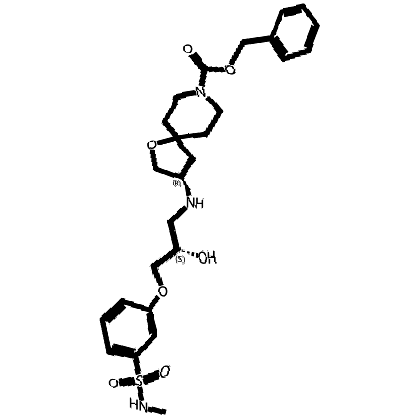 CNS(=O)(=O)c1cccc(OC[C@@H](O)CN[C@H]2COC3(CCN(C(=O)OCc4ccccc4)CC3)C2)c1